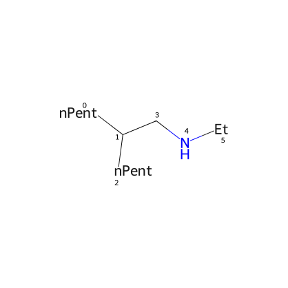 CCCCCC(CCCCC)CNCC